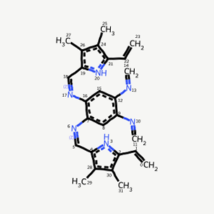 C=Cc1[nH]c(/C=N\c2cc(N=C)c(N=C)cc2/N=C\c2[nH]c(C=C)c(C)c2C)c(C)c1C